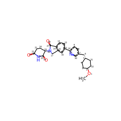 CO[C@H]1CC[C@H](Cc2ccc(-c3ccc4c(c3)CN(C3CCC(=O)NC3=O)C4=O)nc2)CC1